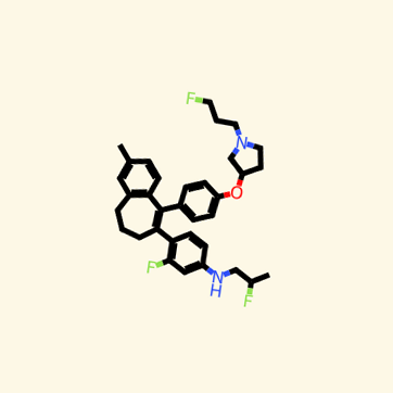 Cc1ccc2c(c1)CCCC(c1ccc(NCC(C)F)cc1F)=C2c1ccc(OC2CCN(CCCF)C2)cc1